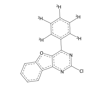 [2H]c1c([2H])c([2H])c(-c2nc(Cl)nc3c2oc2ccccc23)c([2H])c1[2H]